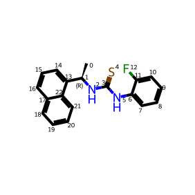 C[C@@H](NC(=S)Nc1ccccc1F)c1cccc2ccccc12